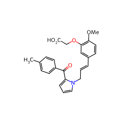 COc1ccc(C=CCn2cccc2C(=O)c2ccc(C)cc2)cc1OCC(=O)O